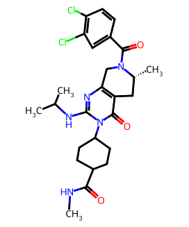 CNC(=O)C1CCC(n2c(NC(C)C)nc3c(c2=O)C[C@@H](C)N(C(=O)c2ccc(Cl)c(Cl)c2)C3)CC1